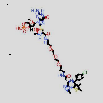 CC(=O)N[C@@H](CSc1nc2c(=O)[nH]c(N)nc2n1[C@@H]1O[C@@H]2COP(=O)(O)O[C@H]2[C@H]1O)C(=O)NCCCOCCOCCOCCCNC(=O)C[C@@H]1N=C(c2ccc(Cl)cc2)c2c(sc(C)c2C)-n2c(C)nnc21